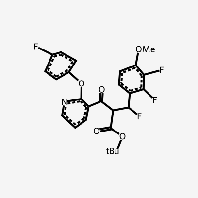 COc1ccc(C(F)C(C(=O)OC(C)(C)C)C(=O)c2cccnc2Oc2ccc(F)cc2)c(F)c1F